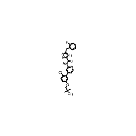 CC(C)(O)COc1ccc(Cl)c(-c2ccnc(NC(=O)c3nnc(Cc4ccccc4F)[nH]3)c2)c1